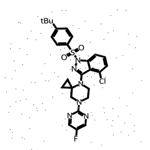 CC(C)(C)c1ccc(S(=O)(=O)n2nc(N3CCN(c4ncc(F)cn4)CC34CC4)c3c(Cl)cccc32)cc1